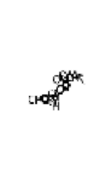 COC(=O)c1c(C)ccc2c1CCC(NS(=O)(=O)c1ccc(Cl)cc1)C2